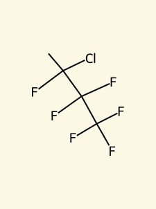 CC(F)(Cl)C(F)(F)C(F)(F)F